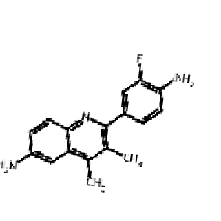 Cc1c(-c2ccc(N)c(F)c2)nc2ccc(N)cc2c1C